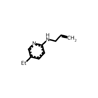 C=CCNc1ccc(CC)cn1